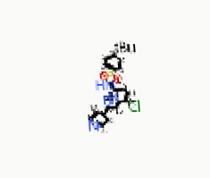 CC(C)(C)c1ccc(S(=O)(=O)Nc2ccc(Cl)c3cc(-c4ccncc4)nn23)cc1